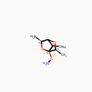 B[C@@H]1O[C@]2(ON)C(OC)C1O[C@H]2C